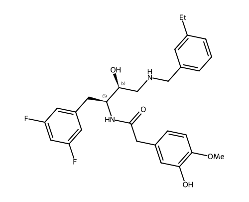 CCc1cccc(CNC[C@H](O)[C@H](Cc2cc(F)cc(F)c2)NC(=O)Cc2ccc(OC)c(O)c2)c1